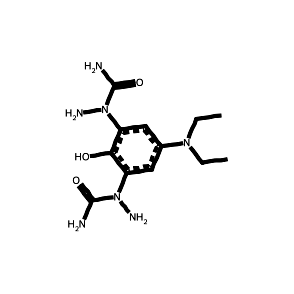 CCN(CC)c1cc(N(N)C(N)=O)c(O)c(N(N)C(N)=O)c1